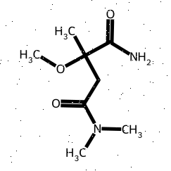 COC(C)(CC(=O)N(C)C)C(N)=O